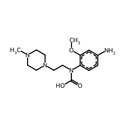 COc1cc(N)ccc1N(CCN1CCN(C)CC1)C(=O)O